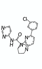 O=C(Nc1ccncn1)N1c2nc(-c3cccc(Cl)c3)ccc2N2CCC1CC2